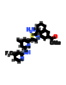 COC(=O)c1ccc2c(c1)CCC[C@]2(N)c1ncc(-c2cc(C)cc(Nc3cc(C(F)(F)F)ccn3)n2)s1